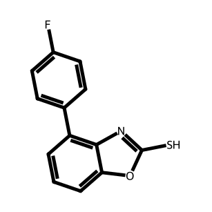 Fc1ccc(-c2cccc3oc(S)nc23)cc1